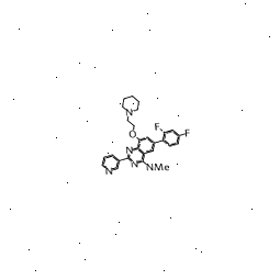 CNc1nc(-c2cccnc2)nc2c(OCCN3CCCCC3)cc(-c3ccc(F)cc3F)cc12